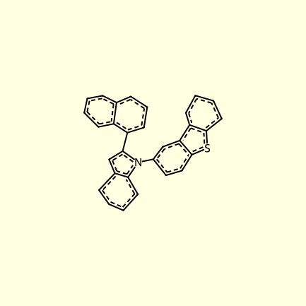 c1ccc2c(-c3cc4ccccc4n3-c3ccc4sc5ccccc5c4c3)cccc2c1